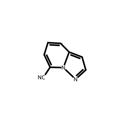 N#Cc1cc[c]c2ccnn12